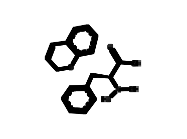 C1=Cc2ccccc2OC1.O=C(O)[C@H](Cc1ccccc1)N(O)O